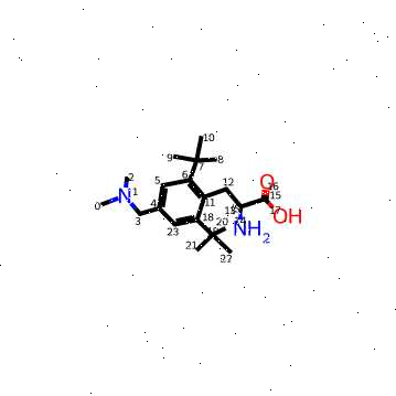 CN(C)Cc1cc(C(C)(C)C)c(C[C@H](N)C(=O)O)c(C(C)(C)C)c1